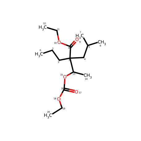 CCCC(CC(C)C)(C(=O)OCC)C(C)OC(=O)OCC